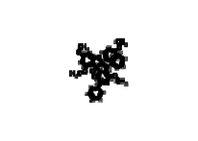 COc1ccc([C@@]23Oc4cc(OC)cc(OC)c4[C@]2(OC)c2nc(-c4ccccc4)nc(OC)c2[C@H]3c2ccccc2)cc1